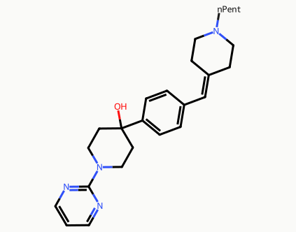 CCCCCN1CCC(=Cc2ccc(C3(O)CCN(c4ncccn4)CC3)cc2)CC1